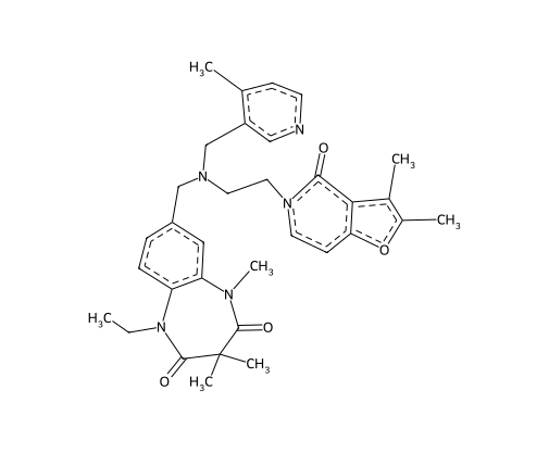 CCN1C(=O)C(C)(C)C(=O)N(C)c2cc(CN(CCn3ccc4oc(C)c(C)c4c3=O)Cc3cnccc3C)ccc21